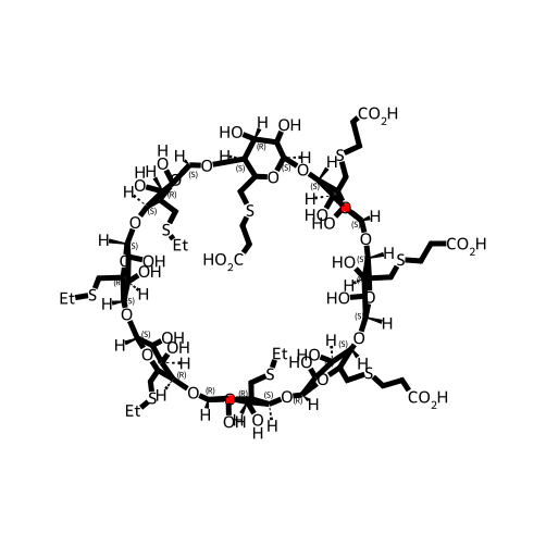 CCSCC1O[C@@H]2O[C@@H]3C(CSCCC(=O)O)O[C@H](O[C@@H]4C(CSCCC(=O)O)O[C@H](O[C@@H]5C(CSCCC(=O)O)O[C@H](O[C@@H]6C(CSCCC(=O)O)O[C@@H](O[C@@H]7C(CSCC)O[C@@H](O[C@H]8C(CSCC)O[C@H](O[C@@H]9C(CSCC)O[C@H](O[C@H]1[C@H](O)C2O)C(O)[C@H]9O)C(O)[C@H]8O)C(O)[C@H]7O)C(O)[C@H]6O)C(O)[C@H]5O)C(O)[C@H]4O)C(O)[C@H]3O